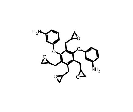 Nc1cccc(Oc2c(CC3CO3)c(CC3CO3)c(CC3CO3)c(Oc3cccc(N)c3)c2CC2CO2)c1